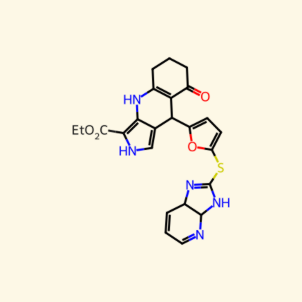 CCOC(=O)c1[nH]cc2c1NC1=C(C(=O)CCC1)C2c1ccc(SC2=NC3C=CC=NC3N2)o1